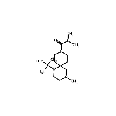 CN1CCN(C(C)(C)C)C2(CCN(C(=O)N(C)C)CC2)C1